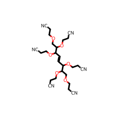 N#CCCOCC(OCCC#N)C(/C=C/C(OCCC#N)C(COCCC#N)OCCC#N)OCCC#N